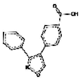 O=C(O)c1ccc(-c2conc2-c2ccccc2)cc1